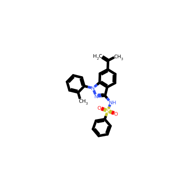 C=C(C)c1ccc2c(NS(=O)(=O)c3ccccc3)nn(-c3ccccc3C)c2c1